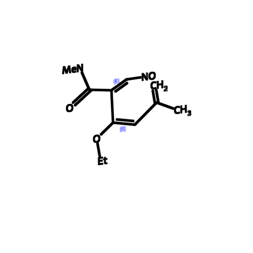 C=C(C)/C=C(OCC)\C(=C/N=O)C(=O)NC